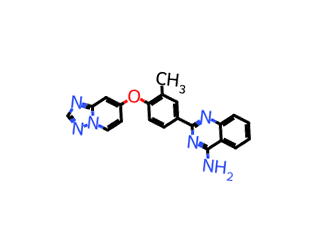 Cc1cc(-c2nc(N)c3ccccc3n2)ccc1Oc1ccn2ncnc2c1